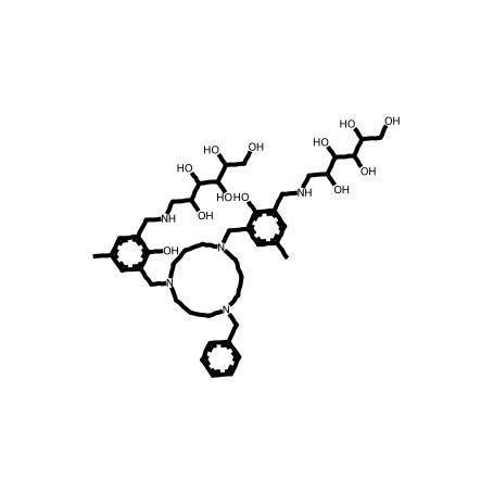 Cc1cc(CNCC(O)C(O)C(O)C(O)CO)c(O)c(CN2CCCN(Cc3ccccc3)CCCN(Cc3cc(C)cc(CNCC(O)C(O)C(O)C(O)CO)c3O)CCC2)c1